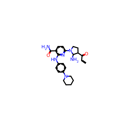 C=CC(=O)C1CCN(c2ccc(C(N)=O)c(Nc3ccc(N4CCCCC4)cc3)n2)C1N